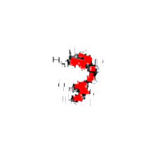 CNC(C)[C@@H]1CCC(NCCNC(=O)c2ccc(C(=O)NCCN[C@@H]3CC[C@@H](C(C)NC)OC3OC3[C@H](O)C(OC4OC[C@](C)(O)[C@H](NC)[C@H]4O)[C@H](N)C[C@@H]3N)cc2)C(OC2[C@H](O)C(OC3OC[C@](C)(O)[C@H](NC)[C@H]3O)[C@H](N)C[C@@H]2N)O1